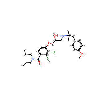 CCCN(CCC)C(=O)c1ccc(OCC(O)CNC(C)(C)Cc2ccc(OC)cc2)c(Cl)c1Cl